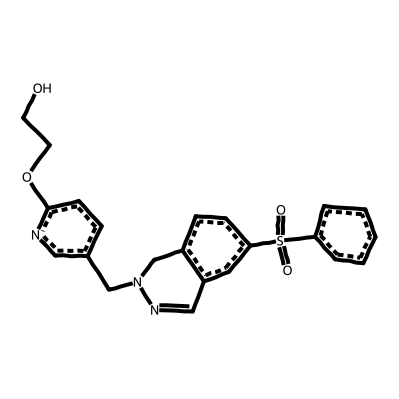 O=S(=O)(c1ccccc1)c1ccc2c(c1)C=NN(Cc1ccc(OCCO)nc1)C2